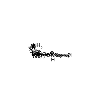 CC(C)(C)OC(=O)N[C@@H](CCCn1c(N)nc2ccccc21)C(=O)N[C@H](C(=O)NCCOCCOCCC(=O)NCCOCCOCCCCCCCl)C(C)(C)C